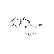 CN1CC=Cc2c1ccc1ccccc21